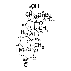 CCCCC(=O)O[C@]1(C(=O)CO)[C@@H](C)C[C@H]2[C@@H]3CC[C@H]4CC(=O)CC[C@]4(C)C3=CC[C@@]21C